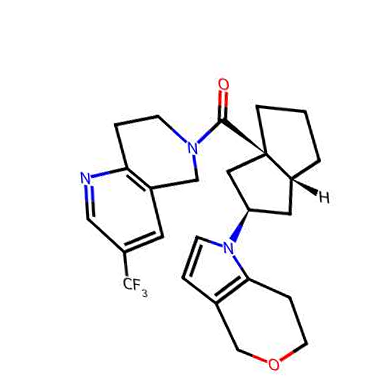 O=C(N1CCc2ncc(C(F)(F)F)cc2C1)[C@@]12CCC[C@@H]1C[C@@H](n1ccc3c1CCOC3)C2